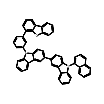 c1cc(-c2cccc3c2oc2ccccc23)cc(-n2c3ccccc3c3cc(-c4ccc5c(c4)c4ccccc4n5-c4cccc5ccccc45)ccc32)c1